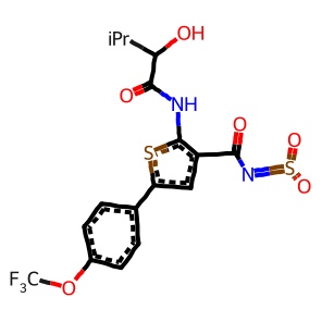 CC(C)C(O)C(=O)Nc1sc(-c2ccc(OC(F)(F)F)cc2)cc1C(=O)N=S(=O)=O